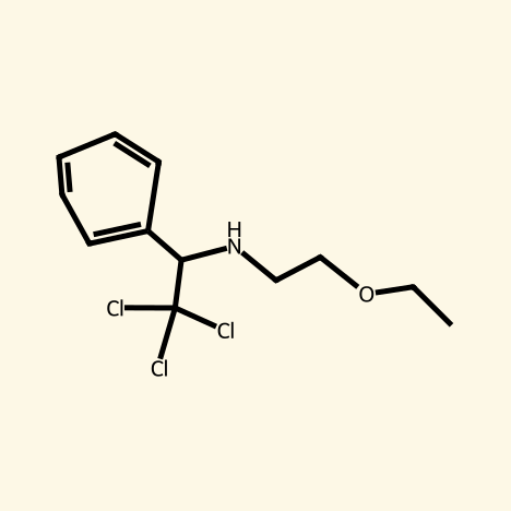 CCOCCNC(c1ccccc1)C(Cl)(Cl)Cl